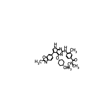 Cc1nc2ccc(-c3c[nH]c4nc(Nc5ccc(C(=O)N(C)C)cc5C)nc(O[C@H]5CC[C@H](O)CC5)c34)cc2o1